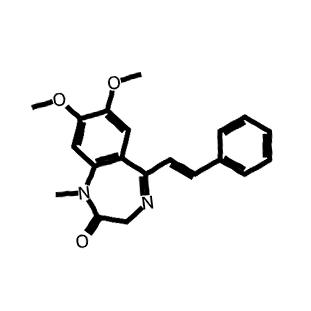 COc1cc2c(cc1OC)N(C)C(=O)CN=C2C=Cc1ccccc1